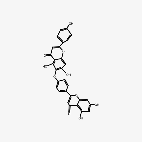 O=c1cc(-c2ccc(Oc3c(O)cc4oc(-c5ccc(O)cc5)cc(=O)c4c3O)cc2)oc2cc(O)cc(O)c12